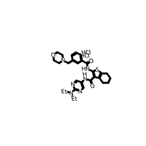 CCN(CC)c1ncc(NC(=O)c2c(NC(=O)c3cccc(CN4CCOCC4)c3)sc3c2CCCC3)cn1.Cl.Cl